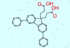 O=C(O)CCC1(CCC(=O)O)c2ccc(-c3ccccc3)cc2-c2cc(-c3ccccc3)ccc21